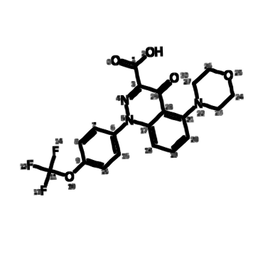 O=C(O)c1nn(-c2ccc(OC(F)(F)F)cc2)c2cccc(N3CCOCC3)c2c1=O